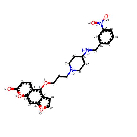 O=c1ccc2c(OCCCN3CCC(NCc4cccc([N+](=O)[O-])c4)CC3)c3ccoc3cc2o1